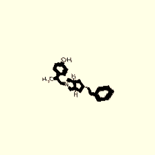 CC(CN1C[C@H]2C[C@H](CCc3ccccc3)C[C@H]2C1)c1ccc(O)cc1